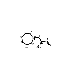 C=CC(=O)CN1CCCCCC1